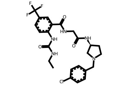 CCNC(=O)Nc1ccc(C(F)(F)F)cc1C(=O)NCC(=O)N[C@H]1CCN(Cc2ccc(Cl)cc2)C1